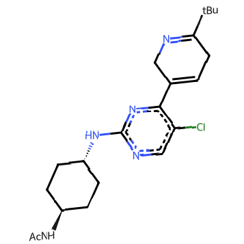 CC(=O)N[C@H]1CC[C@H](Nc2ncc(Cl)c(C3=CCC(C(C)(C)C)=NC3)n2)CC1